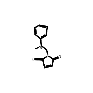 C[C@H](CN1C(=O)C=CC1=O)c1ccccc1